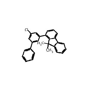 CC1(C)c2ccccc2-c2cccc(-c3cc(Cl)cc(-c4ccccc4)c3)c21